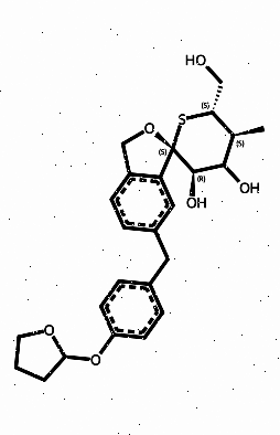 C[C@H]1C(O)[C@@H](O)[C@@]2(OCc3ccc(Cc4ccc(OC5CCCO5)cc4)cc32)S[C@@H]1CO